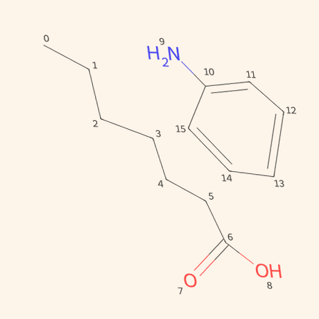 CCCCCCC(=O)O.Nc1ccccc1